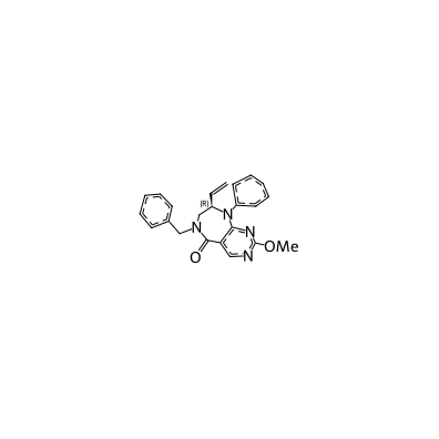 C=C[C@@H]1CN(Cc2ccccc2)C(=O)c2cnc(OC)nc2N1c1ccccc1